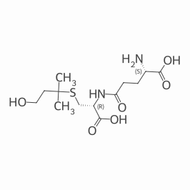 CC(C)(CCO)SC[C@H](NC(=O)CC[C@H](N)C(=O)O)C(=O)O